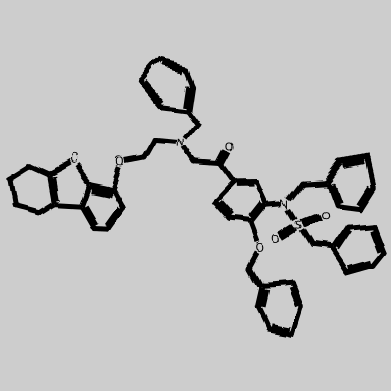 O=C(CN(CCOc1cccc2c3c(oc12)CCCC3)Cc1ccccc1)c1ccc(OCc2ccccc2)c(N(Cc2ccccc2)S(=O)(=O)Cc2ccccc2)c1